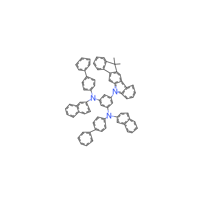 CC1(C)c2ccccc2-c2cc3c(cc21)c1ccccc1n3-c1cc(N(c2ccc(-c3ccccc3)cc2)c2ccc3ccccc3c2)cc(N(c2ccc(-c3ccccc3)cc2)c2ccc3ccccc3c2)c1